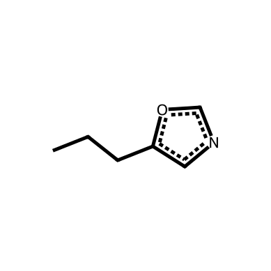 CCCc1cnco1